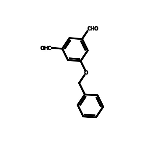 O=Cc1cc(C=O)cc(OCc2ccccc2)c1